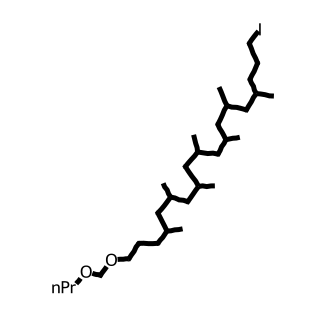 CCCOCOCCCC(C)CC(C)CC(C)CC(C)CC(C)CC(C)CC(C)CCCI